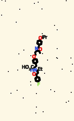 CCC(=CC(=O)c1ccc(F)cc1)N[C@@H](Cc1ccc(OCCc2nc(-c3ccc(OC(C)C)cc3)oc2C)cc1)C(=O)O